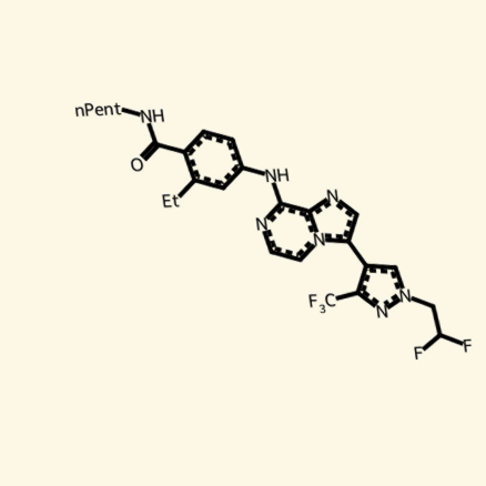 CCCCCNC(=O)c1ccc(Nc2nccn3c(-c4cn(CC(F)F)nc4C(F)(F)F)cnc23)cc1CC